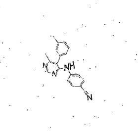 [CH2]c1cccc(-c2c(C)n[c]nc2Nc2ccc(C#N)cc2)c1